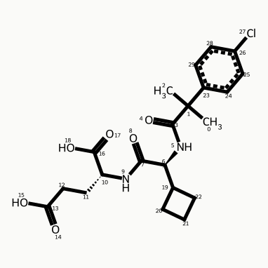 CC(C)(C(=O)N[C@H](C(=O)N[C@H](CCC(=O)O)C(=O)O)C1CCC1)c1ccc(Cl)cc1